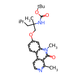 Cc1nccc2c1c(=O)n(C)c1cc(OCC(C)(CC(C)C)NC(=O)OC(C)(C)C)ccc21